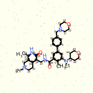 CCN(c1cc(-c2ccc(CN3CCOCC3)cc2)cc(C(=O)NCc2c3c(c(C)[nH]c2=O)CN(C(C)C)CC3)c1C)C1CCOCC1